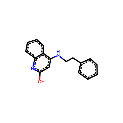 Oc1cc(NCCc2ccccc2)c2ccccc2n1